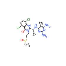 C[S+]([O-])CCCn1c([C@@H](Nc2nc(N)nc(N)c2C#N)C2CC2)nc2c(Cl)ccc(Cl)c2c1=O